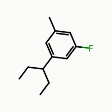 CCC(CC)c1cc(C)cc(F)c1